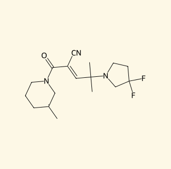 C[C]1CCCN(C(=O)C(C#N)=CC(C)(C)N2CCC(F)(F)C2)C1